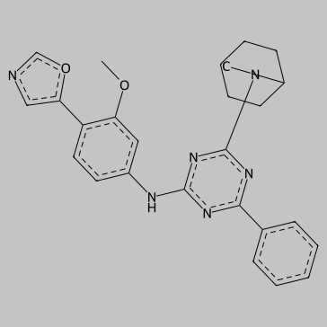 COc1cc(Nc2nc(-c3ccccc3)nc(N3CC4CCC(CC4)C3)n2)ccc1-c1cnco1